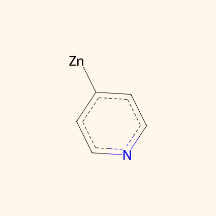 [Zn][c]1ccncc1